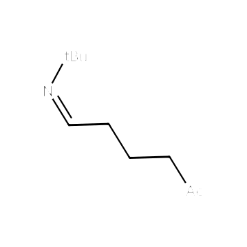 CC(=O)CCC/C=N\C(C)(C)C